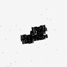 CC(=O)NC1C(O[C@@H]2OC(CO)[C@H](O)C(O)C2O)[C@H](O)C(CO)O[C@H]1OCC(O)[C@@H](OC(CO)CO)O[C@@H]1C(CO)O[C@@H](O)C(O)C1O